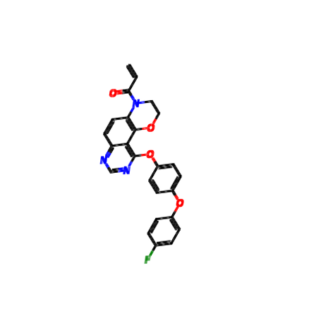 C=CC(=O)N1CCOc2c1ccc1ncnc(Oc3ccc(Oc4ccc(F)cc4)cc3)c21